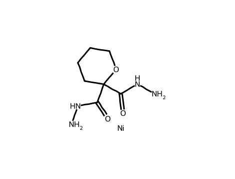 NNC(=O)C1(C(=O)NN)CCCCO1.[Ni]